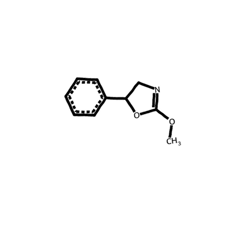 COC1=NCC(c2ccccc2)O1